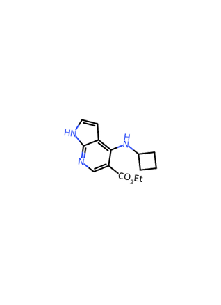 CCOC(=O)c1cnc2[nH]ccc2c1NC1CCC1